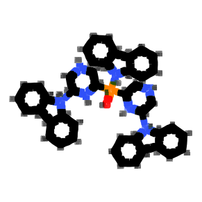 O=P(c1cncc(-n2c3ccccc3c3ccccc32)n1)(c1cncc(-n2c3ccccc3c3ccccc32)n1)n1c2ccccc2c2ccccc21